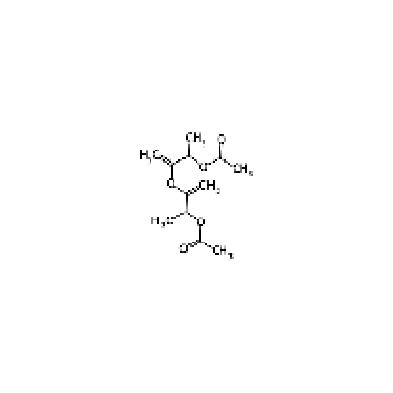 C=C(OC(=C)C(C)OC(C)=O)C(C)OC(C)=O